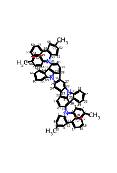 Cc1ccc(N(c2ccc(C)cc2-c2ccccc2)c2ccc3c4cc5c(cc4n4c6ccccc6c2c34)c2ccc(N(c3ccc(C)cc3)c3ccc(C)cc3-c3ccccc3)c3c4ccccc4n5c23)cc1